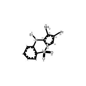 CCN1c2ccccc2S(=O)(=O)n2cc(C(C)C)c(N)c21